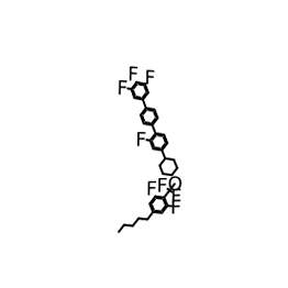 CCCCCc1cc(F)c(C(F)(F)OC2CCC(c3ccc(-c4ccc(-c5cc(F)c(F)c(F)c5)cc4)c(F)c3)CC2)c(F)c1